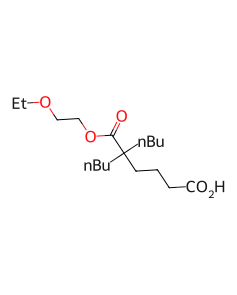 CCCCC(CCCC)(CCCC(=O)O)C(=O)OCCOCC